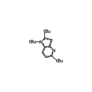 CC(C)(C)c1ccc2c(cc(C(C)(C)C)n2C(C)(C)C)n1